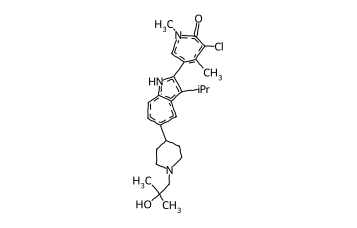 Cc1c(-c2[nH]c3ccc(C4CCN(CC(C)(C)O)CC4)cc3c2C(C)C)cn(C)c(=O)c1Cl